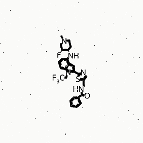 CN1CC[C@H](Nc2cccc3c2cc(-c2ncc(CNC(=O)c4ccccc4)s2)n3CC(F)(F)F)[C@H](F)C1